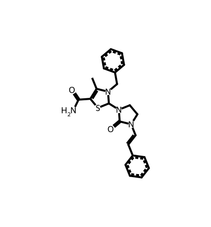 CC1=C(C(N)=O)SC(N2CCN(C=Cc3ccccc3)C2=O)N1Cc1ccccc1